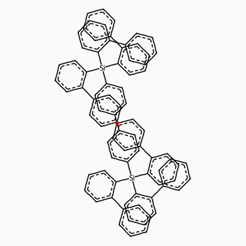 c1ccc(-c2ccccc2[Si](c2ccc(-c3ccc([Si](c4ccccc4-c4ccccc4)(c4ccccc4-c4ccccc4)c4ccccc4-c4ccccc4)cc3)cc2)(c2ccccc2-c2ccccc2)c2ccccc2-c2ccccc2)cc1